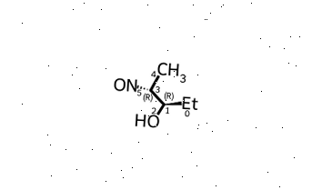 CC[C@@H](O)[C@@H](C)N=O